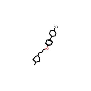 CCCC1CCC(c2ccc(OCCCC3CCC(C)CC3)cc2)CC1